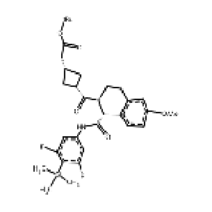 COc1ccc2c(c1)CCN(C(=O)[C@H]1C[C@@H](CC(=O)OC(C)(C)C)C1)[C@H]2C(=O)Nc1cc(F)c([Si](C)(C)C)c(F)c1